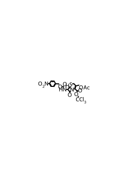 CC(=O)OCC1=C(C(=O)OCC(Cl)(Cl)Cl)N2C(=O)C(NC(=O)OCc3ccc([N+](=O)[O-])cc3)[C@H]2SC1